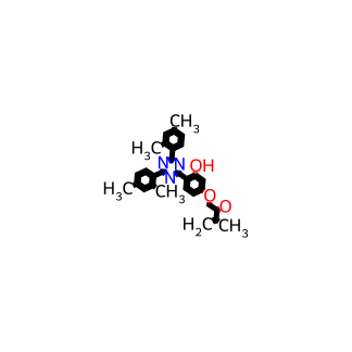 C=C(C)C(=O)COc1ccc(-c2nc(-c3ccc(C)cc3C)nc(-c3ccc(C)cc3C)n2)c(O)c1